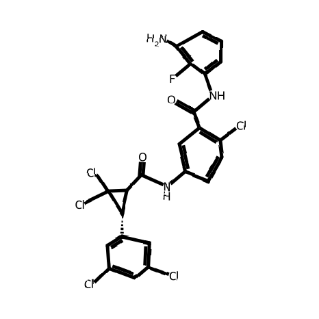 Nc1cccc(NC(=O)c2cc(NC(=O)C3[C@H](c4cc(Cl)cc(Cl)c4)C3(Cl)Cl)ccc2Cl)c1F